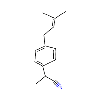 CC(C)=CCc1ccc(C(C)C#N)cc1